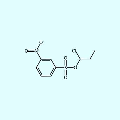 CCC(Cl)OS(=O)(=O)c1cccc([N+](=O)[O-])c1